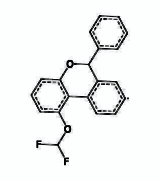 FC(F)Oc1cccc2c1-c1cc[c]cc1C(c1ccccc1)O2